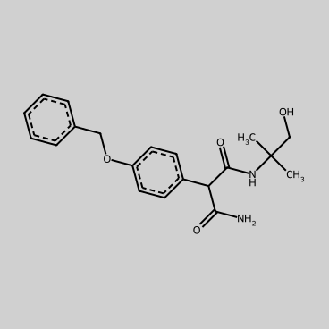 CC(C)(CO)NC(=O)C(C(N)=O)c1ccc(OCc2ccccc2)cc1